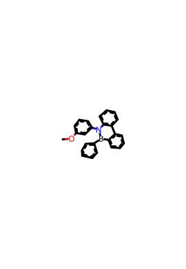 COc1cccc(N2B(c3ccccc3)c3ccccc3-c3ccccc32)c1